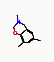 Cc1cc(C)c2c(c1)CN(C)CO2